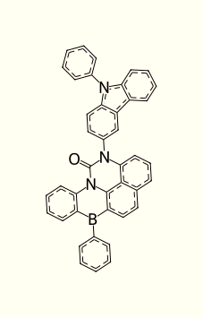 O=C1N(c2ccc3c(c2)c2ccccc2n3-c2ccccc2)c2cccc3ccc4c(c23)N1c1ccccc1B4c1ccccc1